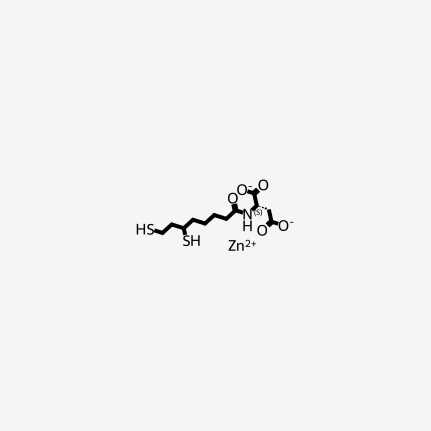 O=C([O-])C[C@H](NC(=O)CCCCC(S)CCS)C(=O)[O-].[Zn+2]